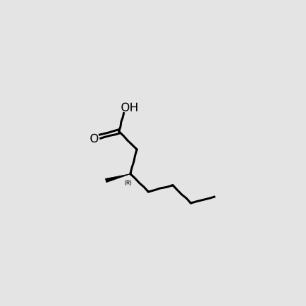 CCCC[C@@H](C)CC(=O)O